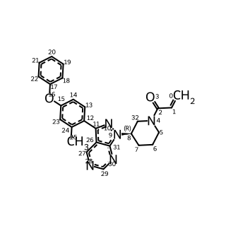 C=CC(=O)N1CCC[C@@H](n2nc(-c3ccc(Oc4ccccc4)cc3C)c3cncnc32)C1